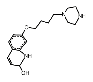 OC1C=Cc2ccc(OCCCCN3CCNCC3)cc2N1